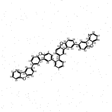 c1ccc(-c2ccc3oc4ccc(-c5ccc6oc7cccnc7c6c5)cc4c3c2)c(-c2ccc3oc4ccc(-c5ccc6oc7cccnc7c6c5)cc4c3c2)c1